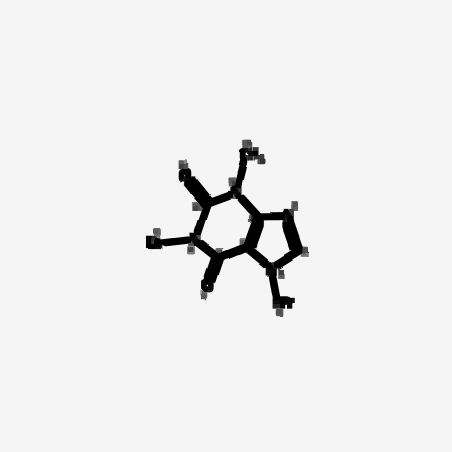 CCCn1cnc2c1c(=O)n(CC)c(=O)n2C